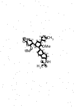 COc1c(-c2ccc3cc(NS(C)(=O)=O)ccc3c2)cc(-c2cnc(OC(C)(C)C)nc2OC(C)(C)C)cc1-c1cnn(C)c1